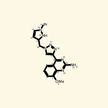 COc1cccc2c(-c3cn(CC4C=CN(C(C)C)N4)nn3)nc(N)nc12